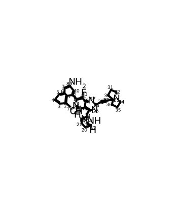 C#Cc1cccc2cc(N)cc(-c3nnc4c(N5C[C@H]6CC[C@@H]5CN6)nc(C#CC56CCCN5CCC6)nc4c3F)c12